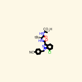 C[C@@H](NC(=O)[C@@H](NC(=O)c1nn(Cc2ccc(C#N)cc2)c2c(Cl)cccc12)C(C)(C)C)C(=O)O